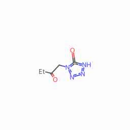 CCC(=O)Cn1nn[nH]c1=O